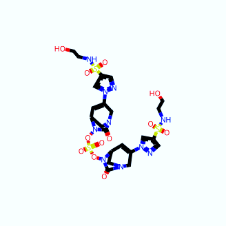 O=C1N2CC(n3cc(S(=O)(=O)NCCO)cn3)=CC(C2)N1OS(=O)(=O)ON1C(=O)N2CC(n3cc(S(=O)(=O)NCCO)cn3)=CC1C2